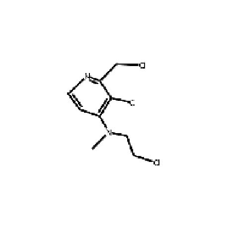 CN(CCCl)c1ccnc(CCl)c1Cl